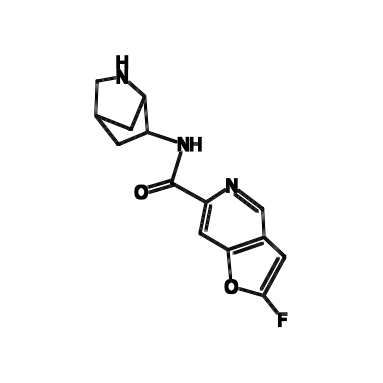 O=C(NC1CC2CNC1C2)c1cc2oc(F)cc2cn1